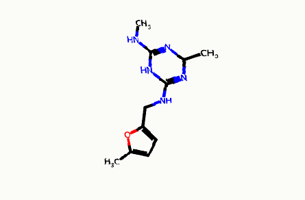 CNC1=NC(C)N=C(NCc2ccc(C)o2)N1